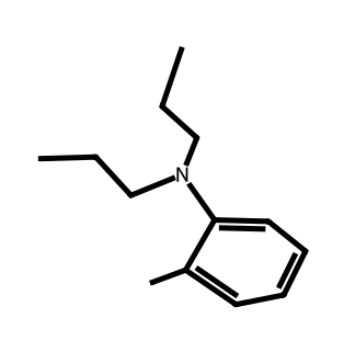 CCCN(CCC)c1ccccc1C